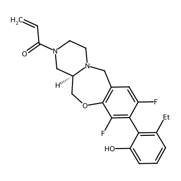 C=CC(=O)N1CCN2Cc3cc(F)c(-c4c(O)cccc4CC)c(F)c3OC[C@H]2C1